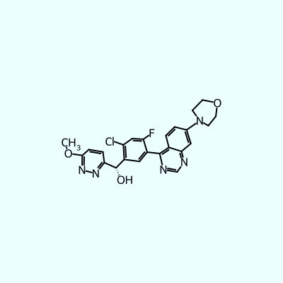 COc1ccc([C@@H](O)c2cc(-c3ncnc4cc(N5CCOCC5)ccc34)c(F)cc2Cl)nn1